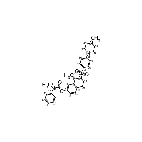 CC1c2cc(OC(=O)N(C)c3ccccc3)ccc2CCN1S(=O)(=O)c1ccc(N2CCN(C)CC2)cc1